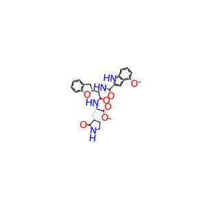 COC(=O)[C@H](C[C@@H]1CCNC1=O)NC(=O)[C@@H](NC(=O)c1cc2c(OC)cccc2[nH]1)[C@@H]1Cc2ccccc2O1